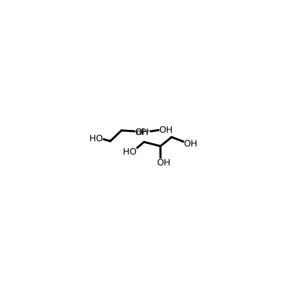 CCCO.OCC(O)CO.OCCO